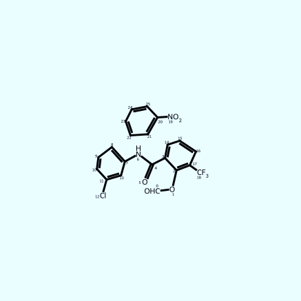 O=COc1c(C(=O)Nc2cccc(Cl)c2)cccc1C(F)(F)F.O=[N+]([O-])c1ccccc1